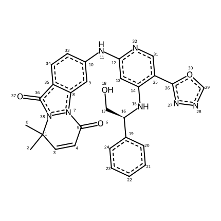 CC1(C)C=CC(=O)n2c3cc(Nc4cc(N[C@H](CO)c5ccccc5)c(-c5nnco5)cn4)ccc3c(=O)n21